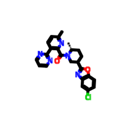 Cc1ccc(-c2ncccn2)c(C(=O)N2CC(c3nc4cc(Cl)ccc4o3)CC[C@H]2C)n1